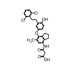 Cc1cc(NC(=O)CC(=O)O)c2c(c1Oc1ccc(O)c(CCc3c(Cl)cccc3Cl)c1)CCC2